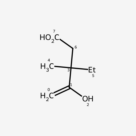 C=C(O)C(C)(CC)CC(=O)O